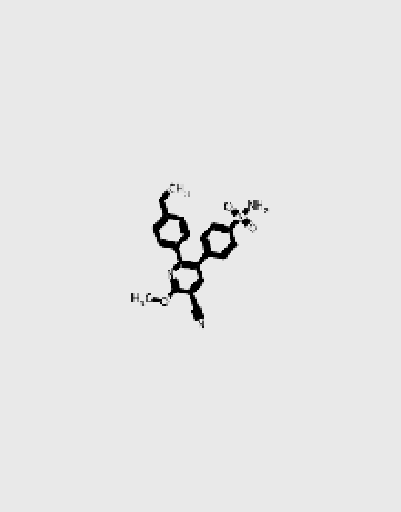 CCc1ccc(-c2nc(OC)c(C#N)cc2-c2ccc(S(N)(=O)=O)cc2)cc1